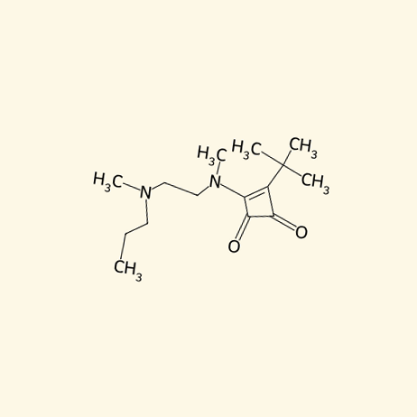 CCCN(C)CCN(C)c1c(C(C)(C)C)c(=O)c1=O